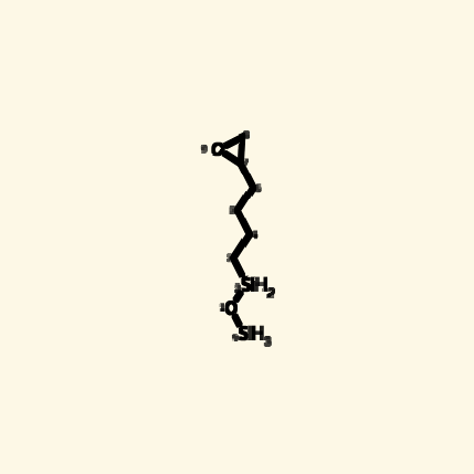 [SiH3]O[SiH2]CCCCC1CO1